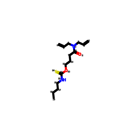 C=CCN(CC=C)C(=O)CCCOC(=S)NCCCC